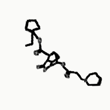 CCC1(OC(=O)C2C3CC4C(OC(=O)C42)C3OC(=O)CCN2CCCCC2)CCCC1